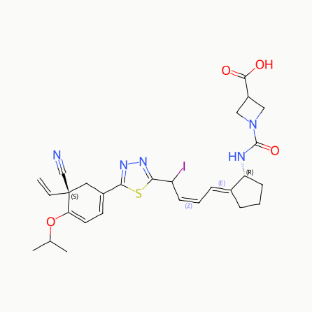 C=C[C@]1(C#N)CC(c2nnc(C(I)/C=C\C=C3/CCC[C@H]3NC(=O)N3CC(C(=O)O)C3)s2)=CC=C1OC(C)C